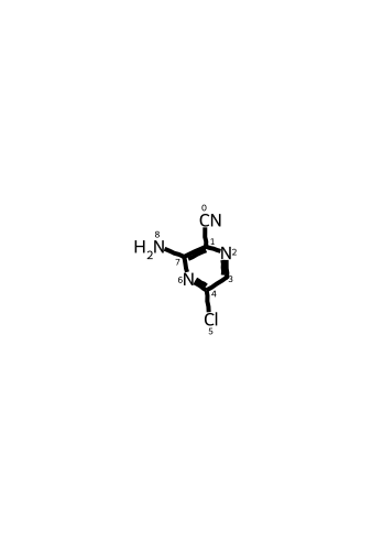 N#Cc1ncc(Cl)nc1N